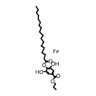 CCCCCCCCCCCCCCCCCC(=O)Oc1c(O)cc(C(=O)OCCC)cc1O.[Fe]